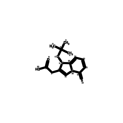 CC(C)(C)On1c(CC(=O)O)cn2c(=S)cccc12